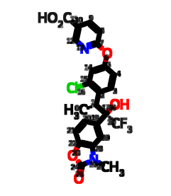 C[C@H](c1ccc(Oc2ccc(C(=O)O)cn2)cc1Cl)[C@@](O)(c1ccc2oc(=O)n(C)c2c1)C(F)(F)F